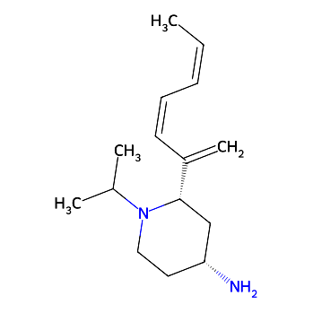 C=C(/C=C\C=C/C)[C@@H]1C[C@H](N)CCN1C(C)C